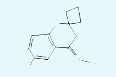 Cc1ccc2c(c1)C(=NO)CC1(CCC1)O2